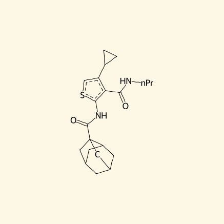 CCCNC(=O)c1c(C2CC2)csc1NC(=O)C12CC3CC(CC1C3)C2